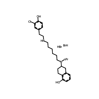 Br.Br.CCCN(CCCCCCNCCc1ccc(O)c(Cl)c1)C1CCc2c(O)cccc2C1